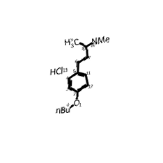 CCCCOc1ccc(CCC(C)NC)cc1.Cl